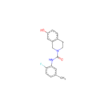 Cc1ccc(F)c(NC(=O)N2CCc3ccc(O)cc3C2)c1